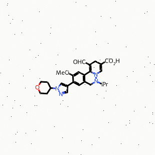 COc1cc2c(cc1-c1cnn(C3CCOCC3)c1)CN(C(C)C)N1C=C(C(=O)O)CC(C=O)=C21